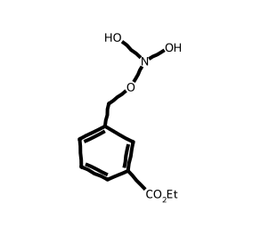 CCOC(=O)c1cccc(CON(O)O)c1